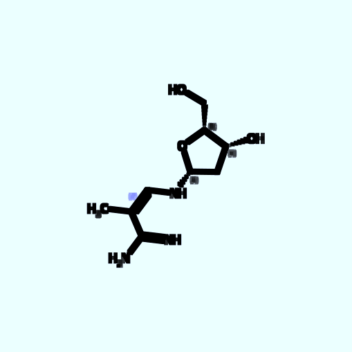 C/C(=C/N[C@H]1C[C@@H](O)[C@@H](CO)O1)C(=N)N